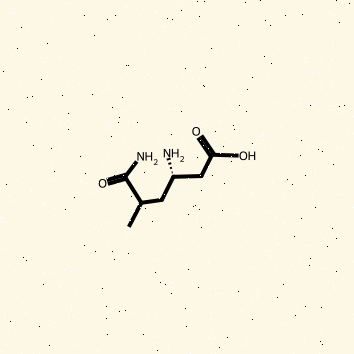 CC(C[C@H](N)CC(=O)O)C(N)=O